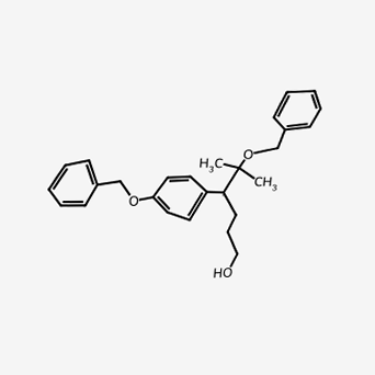 CC(C)(OCc1ccccc1)[C](CCCO)c1ccc(OCc2ccccc2)cc1